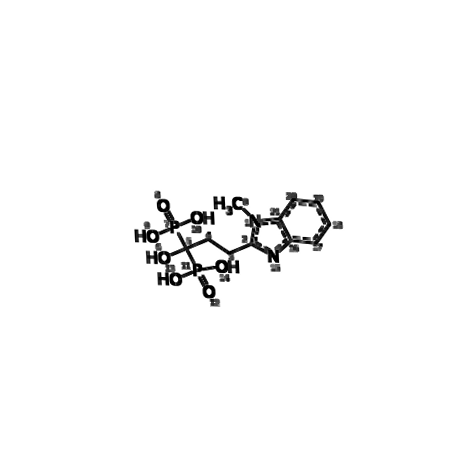 Cn1c(CCC(O)(P(=O)(O)O)P(=O)(O)O)nc2ccccc21